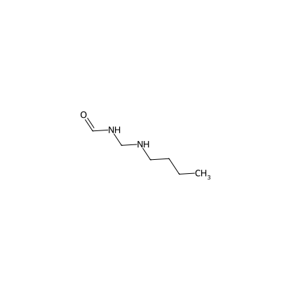 CCCCNCNC=O